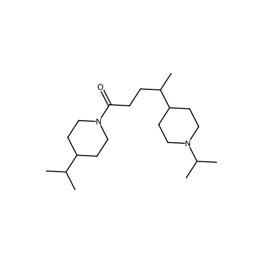 CC(C)C1CCN(C(=O)CCC(C)C2CCN(C(C)C)CC2)CC1